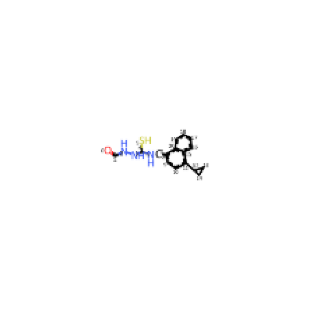 O=CNNC(S)NCc1ccc(C2CC2)c2ccccc12